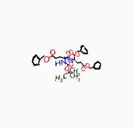 CC(C)(C)OC(=O)NC(CCC(=O)OCc1ccccc1)C(=O)NC(CCC(=O)OCc1ccccc1)C(=O)OCc1ccccc1